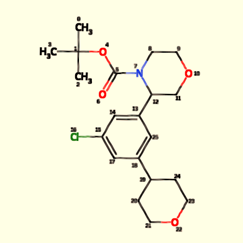 CC(C)(C)OC(=O)N1CCOCC1c1cc(Cl)cc(C2CCOCC2)c1